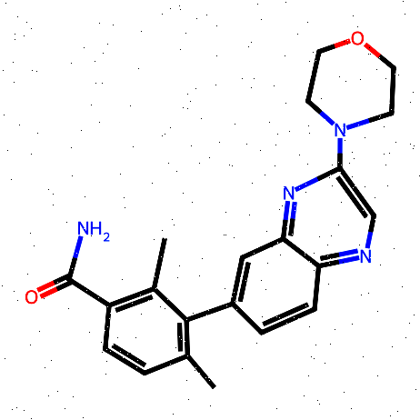 Cc1ccc(C(N)=O)c(C)c1-c1ccc2ncc(N3CCOCC3)nc2c1